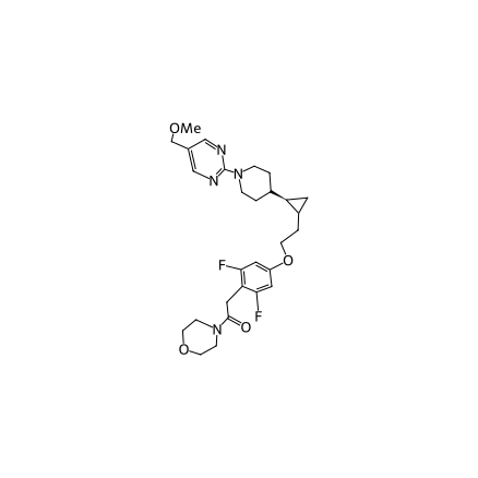 COCc1cnc(N2CCC([C@H]3CC3CCOc3cc(F)c(CC(=O)N4CCOCC4)c(F)c3)CC2)nc1